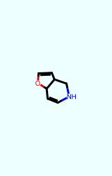 C1=CC2OC=CC2CN1